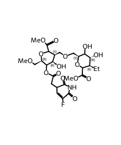 CC[C@H]1C(C(=O)OC)O[C@@H](COC[C@@H]2C(C(=O)OC)O[C@H](COC)C(OC(=O)CC3C=C(F)C(=O)NC3=O)[C@@H]2O)C(O)[C@@H]1O